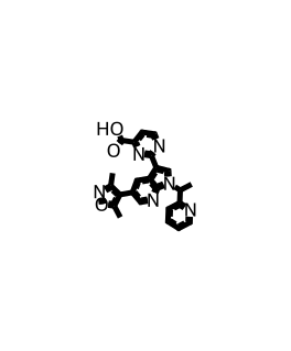 Cc1noc(C)c1-c1cnc2c(c1)c(-c1nccc(C(=O)O)n1)cn2C(C)c1ccccn1